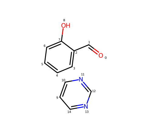 O=Cc1ccccc1O.c1cncnc1